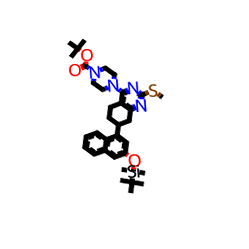 CSc1nc2c(c(N3CCN(C(=O)OC(C)(C)C)CC3)n1)CCC(c1cc(O[Si](C)(C)C(C)(C)C)cc3ccccc13)C2